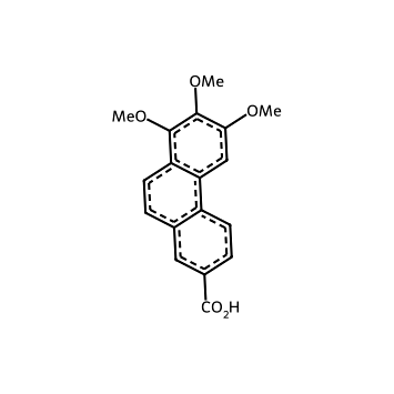 COc1cc2c(ccc3cc(C(=O)O)ccc32)c(OC)c1OC